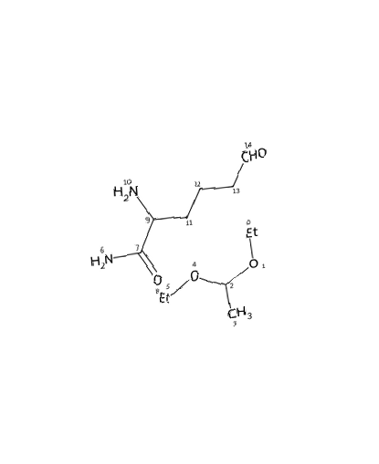 CCOC(C)OCC.NC(=O)C(N)CCCC=O